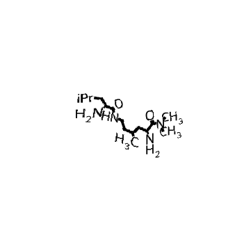 CC(C)C[C@H](N)C(=O)NCCC(C)C[C@H](N)C(=O)N(C)C